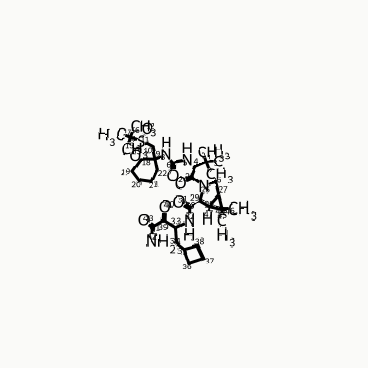 CC(C)(C)[C@H](NC(=O)NC1(CS(=O)(=O)C(C)(C)C)CCCCC1)C(=O)N1CC2[C@@H]([C@H]1C(=O)NC(CC1CCC1)C(=O)C(N)=O)C2(C)C